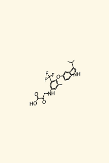 Cc1cc(NCC(=O)C(=O)O)cc(C(F)(F)F)c1Oc1ccc2[nH]cc(C(C)C)c2c1